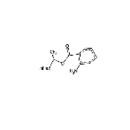 CCCCCCC(OC(=O)c1ccccc1N)C(F)(F)F